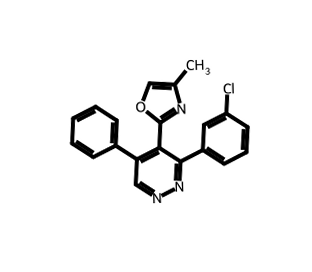 Cc1coc(-c2c(-c3ccccc3)cnnc2-c2cccc(Cl)c2)n1